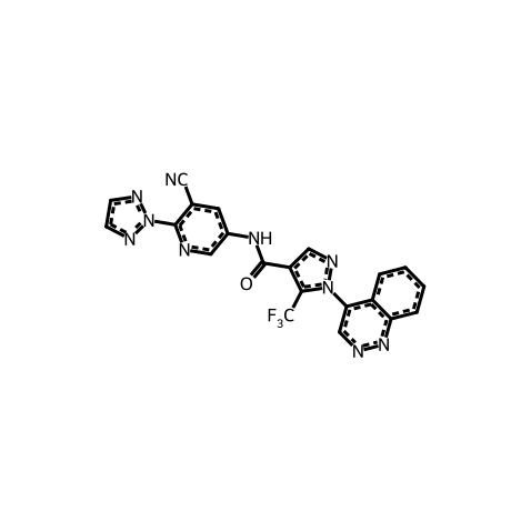 N#Cc1cc(NC(=O)c2cnn(-c3cnnc4ccccc34)c2C(F)(F)F)cnc1-n1nccn1